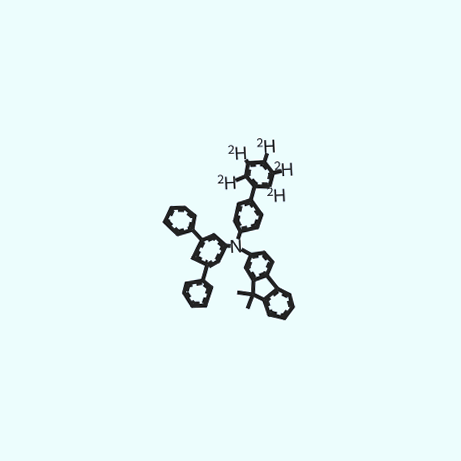 [2H]c1c([2H])c([2H])c(-c2ccc(N(c3cc(-c4ccccc4)cc(-c4ccccc4)c3)c3ccc4c(c3)C(C)(C)c3ccccc3-4)cc2)c([2H])c1[2H]